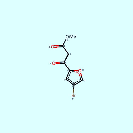 COC(=O)CC(=O)c1cc(Br)co1